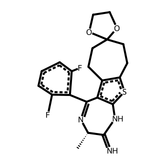 C[C@@H]1N=C(c2c(F)cccc2F)c2c(sc3c2CCC2(CC3)OCCO2)NC1=N